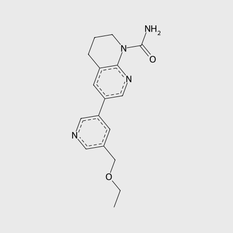 CCOCc1cncc(-c2cnc3c(c2)CCCN3C(N)=O)c1